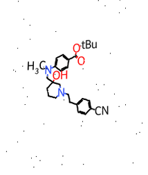 CN(CC1(O)CCCN(CCc2ccc(C#N)cc2)C1)c1ccc(C(=O)OC(C)(C)C)cc1